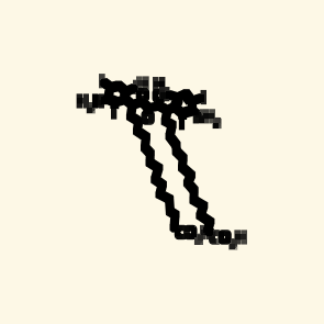 Nc1c(I)cc(I)c(C(CCCCCCCCCCCCCCCC(=O)O)C(O)C(=O)C(O)C(CCCCCCCCCCCCCCCC(=O)O)c2c(I)cc(I)c(N)c2I)c1I